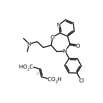 CN(C)CCC1CN(c2ccc(Cl)cc2)C(=O)c2cccnc2O1.O=C(O)/C=C/C(=O)O